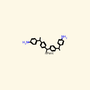 CCCCCC(c1ccc(C(C)c2ccc(N)cc2)cc1)c1ccc(C(C)c2ccc(N)cc2)cc1